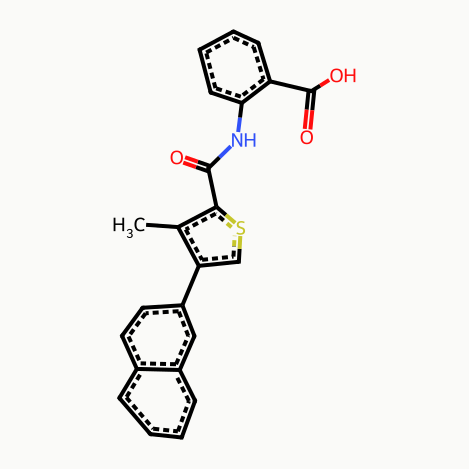 Cc1c(-c2ccc3ccccc3c2)csc1C(=O)Nc1ccccc1C(=O)O